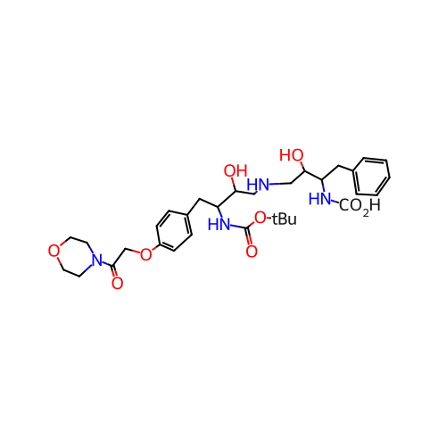 CC(C)(C)OC(=O)NC(Cc1ccc(OCC(=O)N2CCOCC2)cc1)C(O)CNCC(O)C(Cc1ccccc1)NC(=O)O